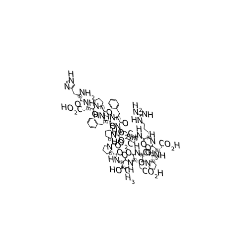 C[C@H](NC(=O)[C@H](CCC(=O)O)NC(=O)[C@@H](NC(=O)[C@@H]1CCCN1C(=O)[C@@H]1CCCN1C(=O)[C@H](CS)NC(=O)[C@H](Cc1ccccc1)NC(=O)[C@H](Cc1ccccc1)NC(=O)[C@@H]1CCCN1C(=O)[C@H](CC(=O)O)NC(=O)[C@@H](N)Cc1c[nH]cn1)[C@@H](C)O)C(=O)N1CCC[C@H]1C(=O)N[C@@H](CC(=O)O)C(=O)N[C@@H](CCCNC(=N)N)C(=O)N[C@@H](CC(=O)O)C(=O)O